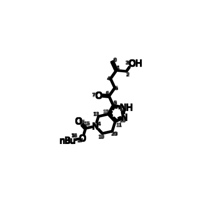 C=C(CO)CCC(=O)c1[nH]nc2c1CN(C(=O)OCCCC)CC2